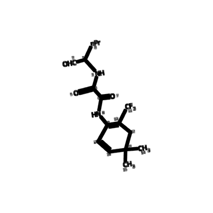 CCCC(C=O)NC(=O)C(=O)NC1=C(C(F)(F)F)CC(C)(C)C=C1